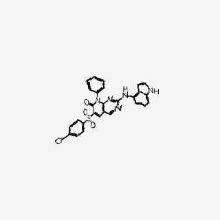 O=c1c(S(=O)(=O)c2ccc(Cl)cc2)cc2cnc(Nc3cccc4[nH]ccc34)nc2n1-c1ccccc1